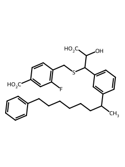 CC(CCCCCCc1ccccc1)c1cccc(C(SCc2ccc(C(=O)O)cc2F)C(O)C(=O)O)c1